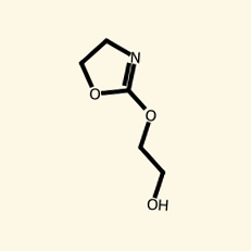 OCCOC1=NCCO1